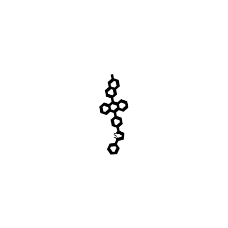 Cc1ccc2cc(-c3c4ccccc4c(-c4ccc(-c5ccc(-c6ccccc6)s5)cc4)c4ccccc34)ccc2c1